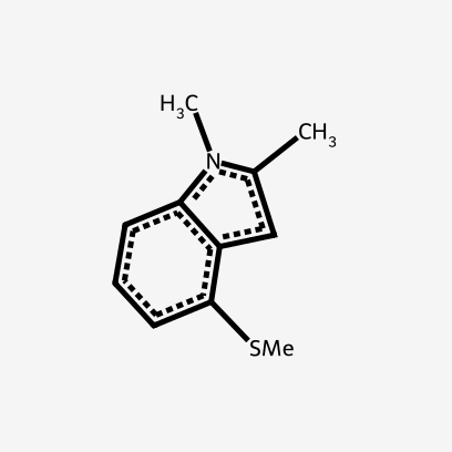 CSc1cccc2c1cc(C)n2C